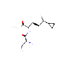 COC(=O)C(C=CC(C(C)C)C1CC1)NC(=O)[C@@H](N)CC(=O)O